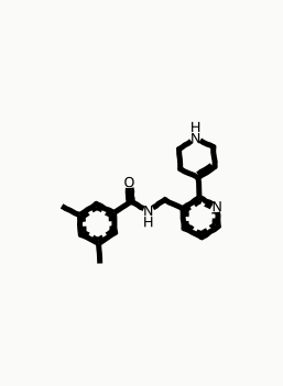 Cc1cc(C)cc(C(=O)NCc2cccnc2C2=CCNCC2)c1